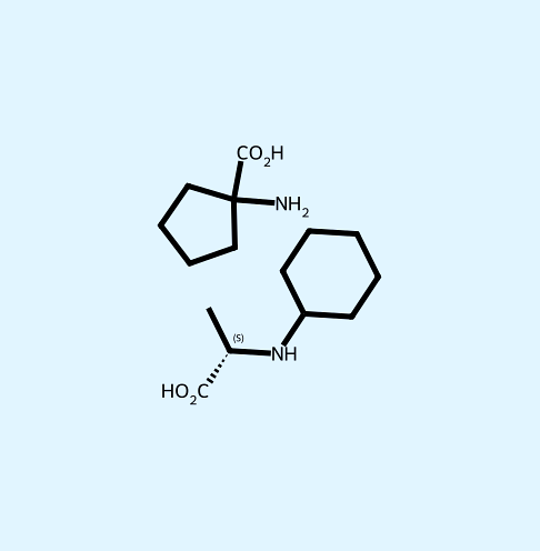 C[C@H](NC1CCCCC1)C(=O)O.NC1(C(=O)O)CCCC1